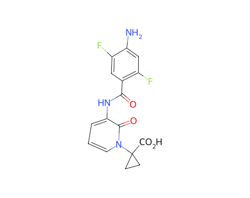 Nc1cc(F)c(C(=O)Nc2cccn(C3(C(=O)O)CC3)c2=O)cc1F